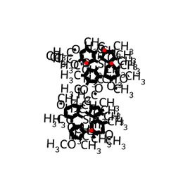 COc1c(C)c(OC)c([Si](c2c(C)c(OC)c(OC)c(C)c2OC)(c2c(C)c(OC)c(OC)c(C)c2OC)[C]2([Ti])C(C)=C(C)C(C)=C2C)c(C)c1OC.COc1cc(C)c([Si](c2c(C)cc(OC)c(C)c2OC)(c2c(C)cc(OC)c(C)c2OC)C2(C)C(C)=C(C)C(C)=[C]2[Ti+3])c(OC)c1C.[Cl-].[Cl-].[Cl-]